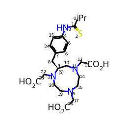 CC(C)C(=S)Nc1ccc(C[C@H]2CN(CC(=O)O)CCN(CC(=O)O)CCN2CC(=O)O)cc1